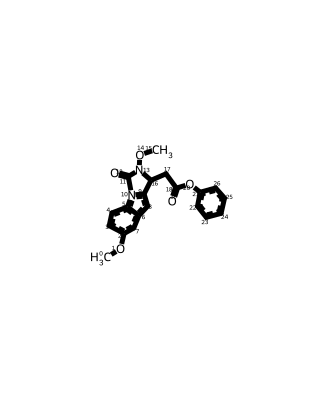 COc1ccc2c(c1)cc1n2C(=O)N(OC)C1CC(=O)Oc1ccccc1